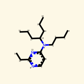 CCCCN(c1ccnc(CC)n1)C(CCC)CCC